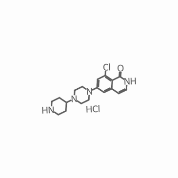 Cl.O=c1[nH]ccc2cc(N3CCN(C4CCNCC4)CC3)cc(Cl)c12